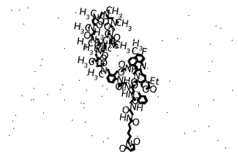 CC[C@H]1C(=O)OCc2c1cc1n(c2=O)Cc2c-1nc1cc(F)c(C)c3c1c2[C@@H](NC(=O)OCc1c(CN(C)C(=O)CN(C)C(=O)CN(C)C(=O)CN(C)C(=O)CN(C)C(=O)CN(C)C(=O)CN(C)C(=O)CN(C)C(=O)CN(C)C(=O)CN(C)C(=O)CN(C)C(C)=O)cccc1NC(=O)CNC(=O)[C@H](Cc1ccccc1)NC(=O)CNC(=O)CNC(=O)CCCCCN1C(=O)C=CC1=O)CC3